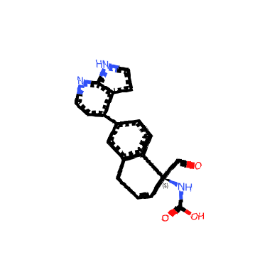 O=C[C@]1(NC(=O)O)C=CCc2cc(-c3ccnc4[nH]ccc34)ccc21